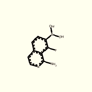 Nc1nccc2ccc(B(O)O)c(F)c12